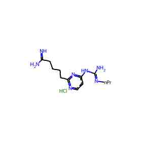 CCCN=C(N)Nc1ccnc(CCCCC(=N)N)n1.Cl